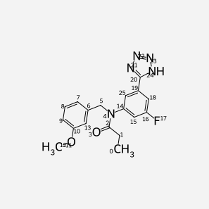 CCC(=O)N(Cc1cccc(OC)c1)c1cc(F)cc(-c2nnn[nH]2)c1